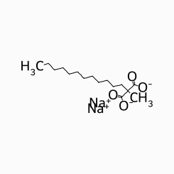 CCCCCCCCCCCCC(C)(C(=O)[O-])C(=O)[O-].[Na+].[Na+]